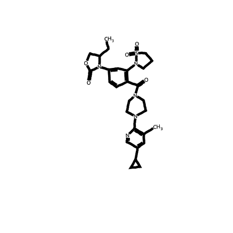 CCC1COC(=O)N1c1ccc(C(=O)N2CCN(c3ncc(C4CC4)cc3C)CC2)c(N2CCCS2(=O)=O)c1